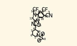 CS(=O)(=O)N1CCCC(c2nc(CN(CC(F)(F)F)c3ccc(C#N)c(C(F)(F)F)c3)no2)C1